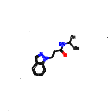 CC(=O)C(NC(=O)CCn1ncc2ccccc21)C(C)(C)C